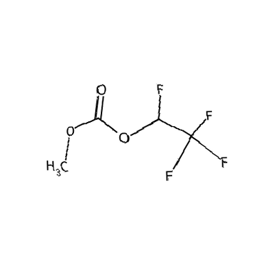 COC(=O)OC(F)C(F)(F)F